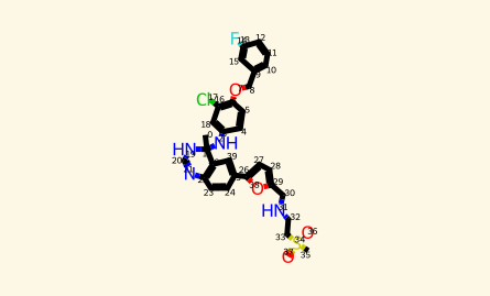 CC1(Nc2ccc(OCc3cccc(F)c3)c(Cl)c2)NC=Nc2ccc(-c3ccc(CNCCS(C)(=O)=O)o3)cc21